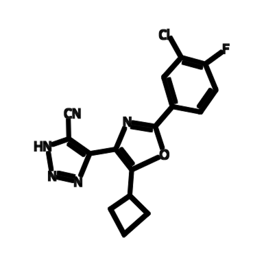 N#Cc1[nH]nnc1-c1nc(-c2ccc(F)c(Cl)c2)oc1C1CCC1